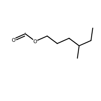 CCC(C)CCCO[C]=O